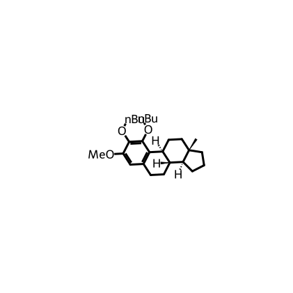 CCCCOc1c(OC)cc2c(c1OCCCC)[C@H]1CC[C@]3(C)CCC[C@H]3[C@@H]1CC2